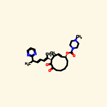 C/C(=C\C=C\C(C)c1ncccn1)[C@H]1C(=O)C(=O)CCCCC[C@@H](OC(=O)N2CCN(C)CC2)/C=C/[C@@H]1C